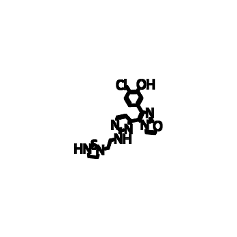 Oc1cc(-c2nc3occn3c2-c2ccnc(NCCN3CCNS3)n2)ccc1Cl